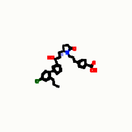 CCCc1cc(Cl)ccc1-c1cccc(C(O)/C=C/C2CCC(=O)N2CCCc2ccc(C(=O)O)cc2)c1